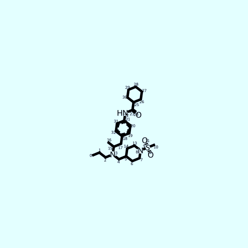 CCCN(CC1CCN(S(C)(=O)=O)CC1)C(C)Cc1ccc(NC(=O)C2CCCCC2)cc1